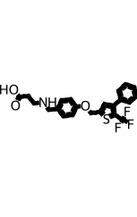 O=C(O)CCNCc1ccc(OCc2cc(-c3ccccc3)c(C(F)(F)F)s2)cc1